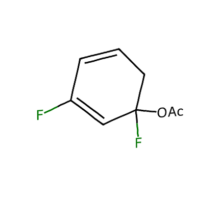 CC(=O)OC1(F)C=C(F)C=CC1